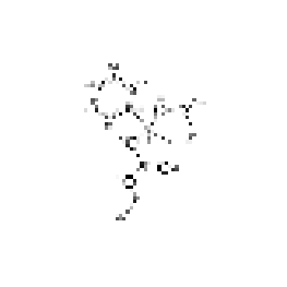 CCOC(=O)OC(C)(OC(C)C)c1ccccc1